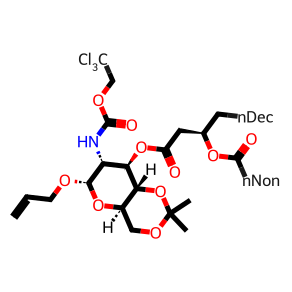 C=CCO[C@H]1O[C@@H]2COC(C)(C)O[C@H]2[C@H](OC(=O)C[C@@H](CCCCCCCCCCC)OC(=O)CCCCCCCCC)[C@H]1NC(=O)OCC(Cl)(Cl)Cl